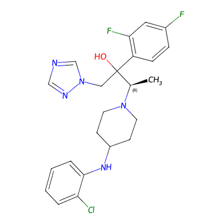 C[C@@H](N1CCC(Nc2ccccc2Cl)CC1)C(O)(Cn1cncn1)c1ccc(F)cc1F